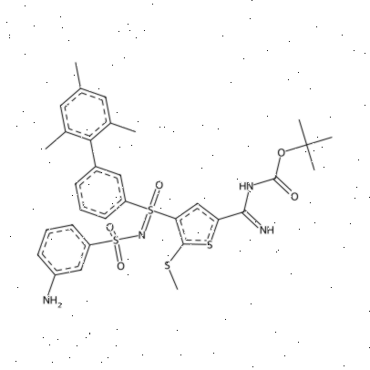 CSc1sc(C(=N)NC(=O)OC(C)(C)C)cc1S(=O)(=NS(=O)(=O)c1cccc(N)c1)c1cccc(-c2c(C)cc(C)cc2C)c1